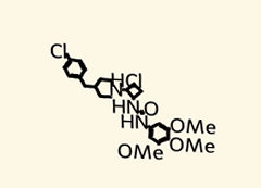 COc1cc(NC(=O)NC2CCC2N2CCC(Cc3ccc(Cl)cc3)CC2)cc(OC)c1OC.Cl